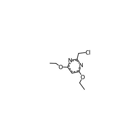 CCOc1cc(OCC)nc(CCl)n1